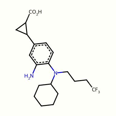 Nc1cc(C2CC2C(=O)O)ccc1N(CCCC(F)(F)F)C1CCCCC1